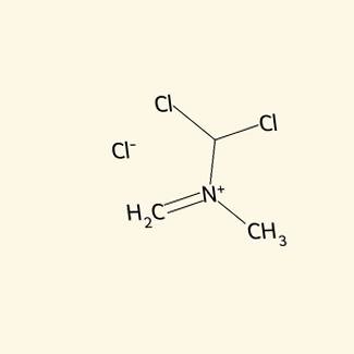 C=[N+](C)C(Cl)Cl.[Cl-]